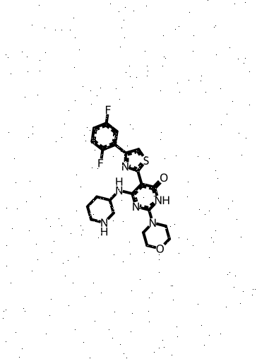 O=c1[nH]c(N2CCOCC2)nc(NC2CCCNC2)c1-c1nc(-c2cc(F)ccc2F)cs1